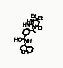 CCC1(CC)CC(=O)N(C(C)c2cccc(C(O)N[C@H]3CCOc4ccccc43)c2)C(=N)N1